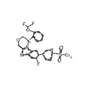 CS(=O)(=O)c1ccc(-c2cc3c(cc2F)nc2n3[C@H](c3ccccc3OC(F)F)COC2)cn1